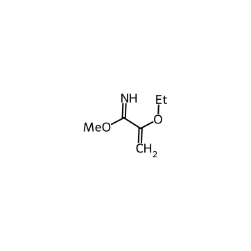 C=C(OCC)C(=N)OC